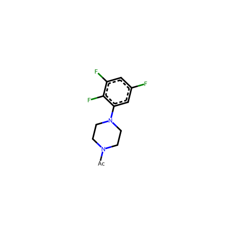 CC(=O)N1CCN(c2cc(F)cc(F)c2F)CC1